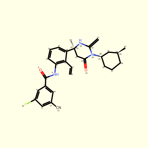 C=Cc1c(NC(=O)c2cc(F)cc(C#N)c2)cccc1[C@]1(C)CC(=O)N([C@@H]2CCC[C@H](C)C2)C(=C)N1